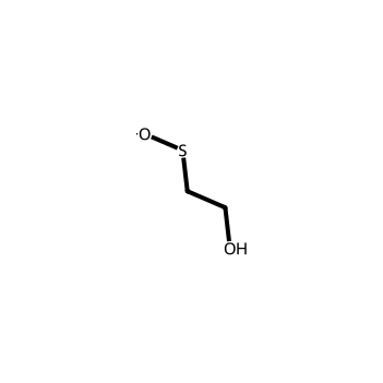 [O]SCCO